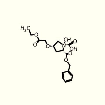 CCOC(=O)CO[C@@H]1C[C@@H](C(=O)OCc2ccccc2)[N+](C)(C(=O)O)C1